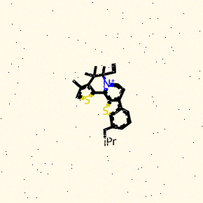 C=CC1(C)[n+]2ccc3c(sc4c(CC(C)C)cccc43)c2-c2scc(C)c2C1(C)C